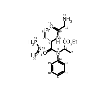 CCOC(=O)[C@H](C)N(C(=O)[C@H](CC(C)C)NC(=O)CN)c1ccccc1.P=NP